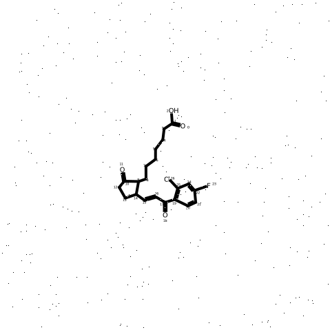 O=C(O)CCCCCCC1C(=O)CCC1/C=C/C(=O)c1ccc(F)cc1Cl